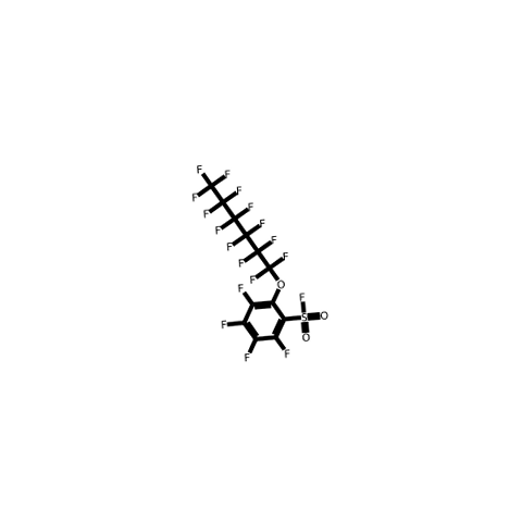 O=S(=O)(F)c1c(F)c(F)c(F)c(F)c1OC(F)(F)C(F)(F)C(F)(F)C(F)(F)C(F)(F)C(F)(F)F